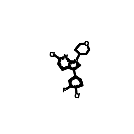 Fc1cc(-c2cn(C3CCOCC3)c3nc(Cl)ccc23)ccc1Cl